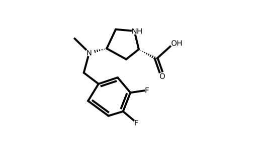 CN(Cc1ccc(F)c(F)c1)[C@@H]1CN[C@H](C(=O)O)C1